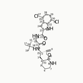 C#C[C@H](C[C@@H]1CCCNC1=O)NC(=O)[C@H](CC(C)(C)C)NC(=O)c1cc2c(Cl)ccc(Cl)c2[nH]1